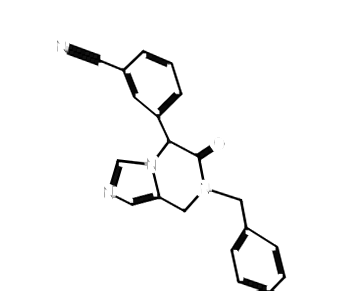 N#Cc1cccc(C2C(=O)N(Cc3ccccc3)Cc3cncn32)c1